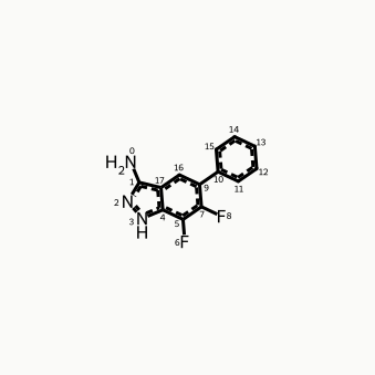 Nc1n[nH]c2c(F)c(F)c(-c3ccccc3)cc12